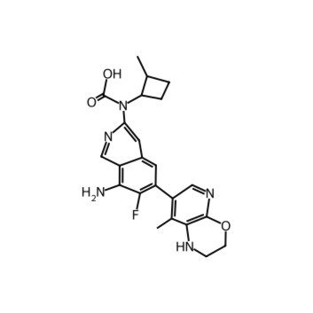 Cc1c(-c2cc3cc(N(C(=O)O)C4CCC4C)ncc3c(N)c2F)cnc2c1NCCO2